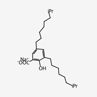 CC(C)CCCCCCc1cc(CCCCCCC(C)C)c(O)c(C(=O)[O-])c1.[Na+]